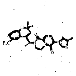 Cc1cn(-c2ccc3n(c2=O)CCN([C@@H](C)C2=CC(C)(C)Oc4ccc(C(F)(F)F)cc42)C3=O)cn1